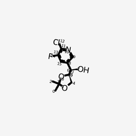 CC1(C)OC[C@H]([C@H](O)c2cnc(Cl)c(F)c2)O1